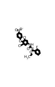 CCOC(=NC(=O)Nc1cc(Cl)c(Oc2ccc([N+](=O)[O-])cc2)c(Cl)c1)c1ccccc1F